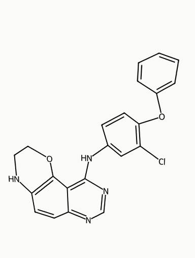 Clc1cc(Nc2ncnc3ccc4c(c23)OCCN4)ccc1Oc1ccccc1